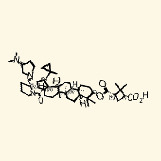 CN(C)[C@H]1CCN(C[C@@H]2CCCN2C(=O)[C@]23CC[C@@H](C4(C)CC4)[C@@H]2[C@H]2CC[C@@H]4[C@@]5(C)CC[C@H](OC(=O)[C@H]6C[C@@H](C(=O)O)C6(C)C)C(C)(C)[C@@H]5CC[C@@]4(C)[C@]2(C)CC3)C1